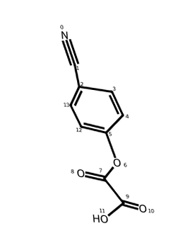 N#Cc1ccc(OC(=O)C(=O)O)cc1